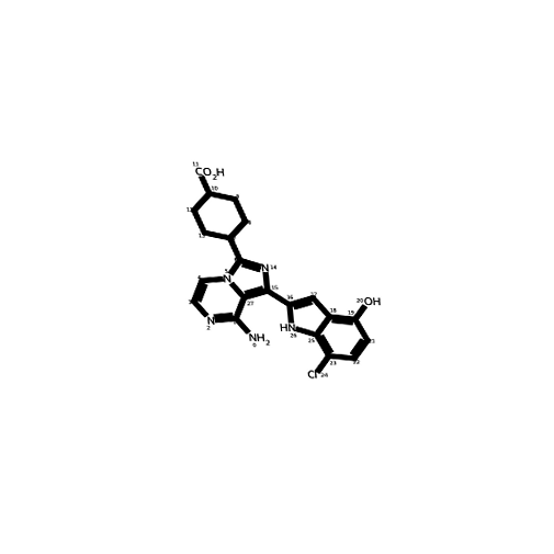 Nc1nccn2c(C3CCC(C(=O)O)CC3)nc(-c3cc4c(O)ccc(Cl)c4[nH]3)c12